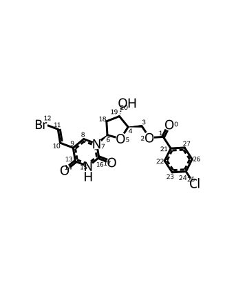 O=C(OC[C@H]1O[C@@H](n2cc(/C=C/Br)c(=O)[nH]c2=O)C[C@@H]1O)c1ccc(Cl)cc1